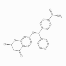 CC[C@@H]1CC(=O)c2ccc(O[C@H](c3ccncc3)c3ccc(C(N)=O)cc3)cc2O1